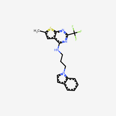 Cc1cc2c(NCCCn3ccc4ccccc43)nc(C(F)(F)F)nc2s1